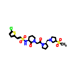 CS(=O)(=O)C1CCN(C[C@@H]2CCCN2C(=O)CN2CCC[C@H](NS(=O)(=O)/C=C/c3ccc(Cl)s3)C2=O)C1